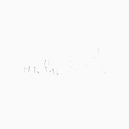 NC(=S)N/N=C/c1ccc(-c2cc(F)cc(F)c2)o1